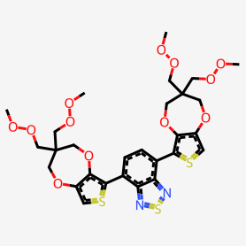 COOCC1(COOC)COc2csc(-c3ccc(-c4scc5c4OCC(COOC)(COOC)CO5)c4nsnc34)c2OC1